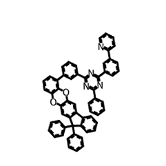 c1ccc(-c2nc(-c3cccc(-c4ccccn4)c3)nc(-c3cccc(-c4cccc5c4Oc4cc6c(cc4O5)C(c4ccccc4)(c4ccccc4)c4ccccc4-6)c3)n2)cc1